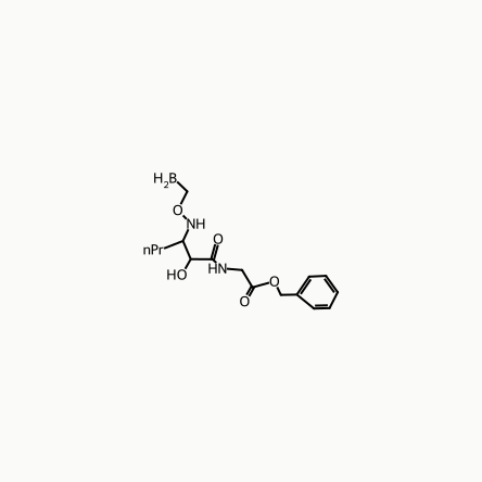 BCONC(CCC)C(O)C(=O)NCC(=O)OCc1ccccc1